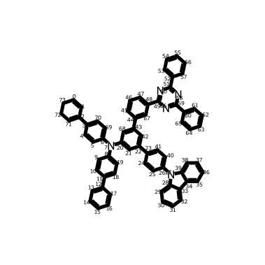 C1=CC(c2ccc(N(c3ccc(-c4ccccc4)cc3)c3cc(-c4ccc(-n5c6ccccc6c6ccccc65)cc4)cc(-c4cccc(-c5nc(-c6ccccc6)nc(-c6ccccc6)n5)c4)c3)cc2)=CCC1